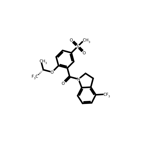 C[C@H](Oc1ccc(S(C)(=O)=O)cc1C(=O)N1CCc2c1cccc2C(F)(F)F)C(F)(F)F